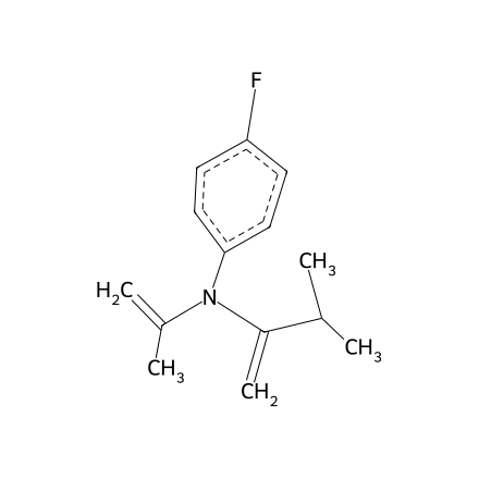 C=C(C)N(C(=C)C(C)C)c1ccc(F)cc1